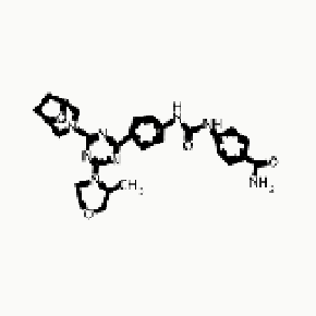 CC1COCCN1c1nc(-c2ccc(NC(=O)Nc3ccc(C(N)=O)cc3)cc2)nc(N2CC3CCC(C2)O3)n1